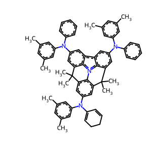 Cc1cc(C)cc(N(C2=CCCC=C2)c2cc3c4c(c2)C(C)(C)c2cc(N(c5ccccc5)c5cc(C)cc(C)c5)cc5c6cc(N(c7ccccc7)c7cc(C)cc(C)c7)cc(c6n-4c25)C3(C)C)c1